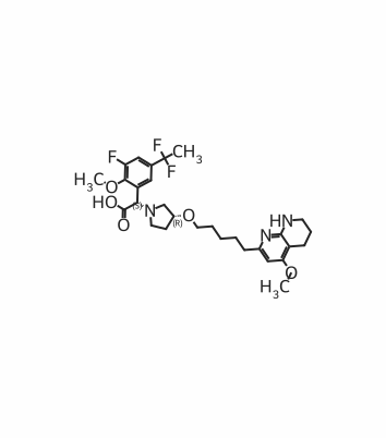 COc1cc(CCCCCO[C@@H]2CCN([C@H](C(=O)O)c3cc(C(C)(F)F)cc(F)c3OC)C2)nc2c1CCCN2